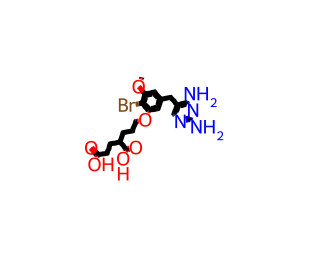 COc1cc(Cc2cnc(N)nc2N)cc(OCCCC(CCC(=O)O)C(=O)O)c1Br